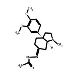 COc1ccc([C@@]23CCC(=NNC(N)=O)C[C@@H]2N(C)CC3)cc1OC